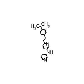 CC(C)c1ccc(CCc2ccc(Nc3cccnc3)cn2)cc1